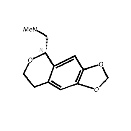 CNC[C@H]1OCCc2cc3c(cc21)OCO3